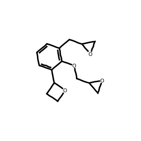 c1cc(CC2CO2)c(OCC2CO2)c(C2CCO2)c1